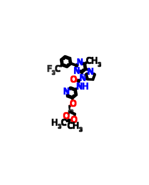 Cc1nc(-c2cccc(C(F)(F)F)c2)nc2c1N1CCC(C1)N2C(=O)Nc1cncc(OC[C@@H]2COC(C)(C)O2)c1